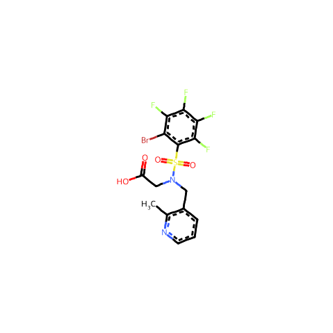 Cc1ncccc1CN(CC(=O)O)S(=O)(=O)c1c(F)c(F)c(F)c(F)c1Br